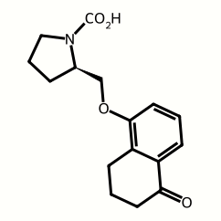 O=C1CCCc2c(OC[C@H]3CCCN3C(=O)O)cccc21